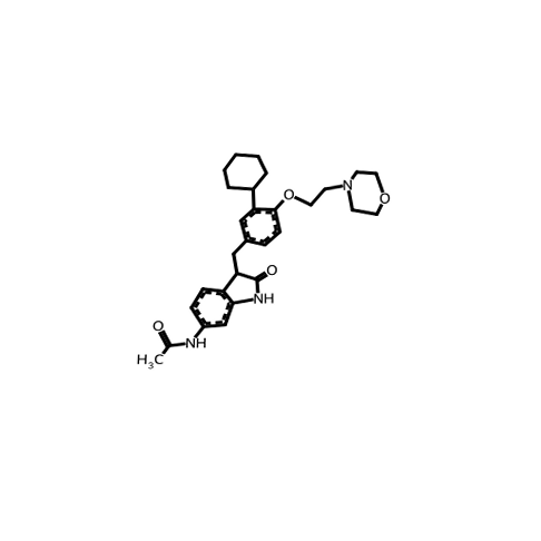 CC(=O)Nc1ccc2c(c1)NC(=O)C2Cc1ccc(OCCN2CCOCC2)c(C2CCCCC2)c1